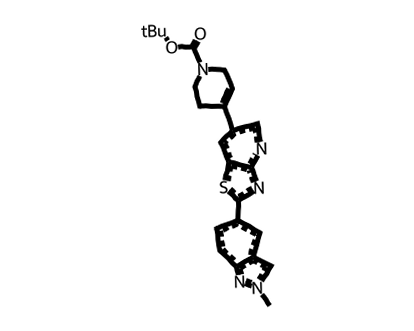 Cn1cc2cc(-c3nc4ncc(C5=CCN(C(=O)OC(C)(C)C)CC5)cc4s3)ccc2n1